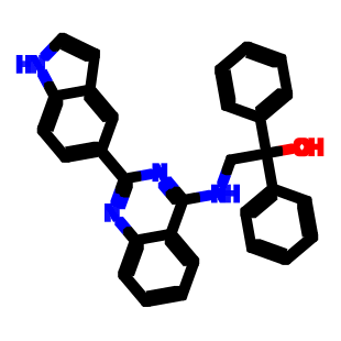 OC(CNc1nc(-c2ccc3[nH]ccc3c2)nc2ccccc12)(c1ccccc1)c1ccccc1